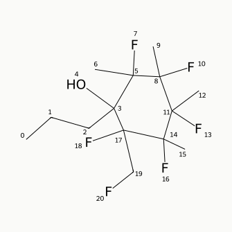 CCCC1(O)C(C)(F)C(C)(F)C(C)(F)C(C)(F)C1(F)CF